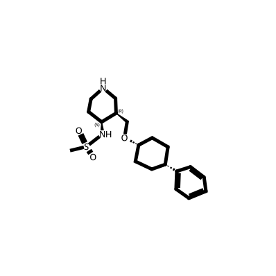 CS(=O)(=O)N[C@H]1CCNC[C@H]1CO[C@H]1CC[C@@H](c2ccccc2)CC1